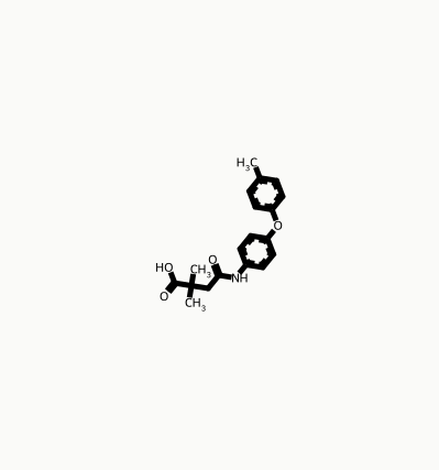 Cc1ccc(Oc2ccc(NC(=O)CC(C)(C)C(=O)O)cc2)cc1